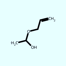 [CH2]C(O)OCC=C